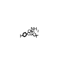 CC(C)(C)CC(COc1ccc(I)cc1)OC(N)=O